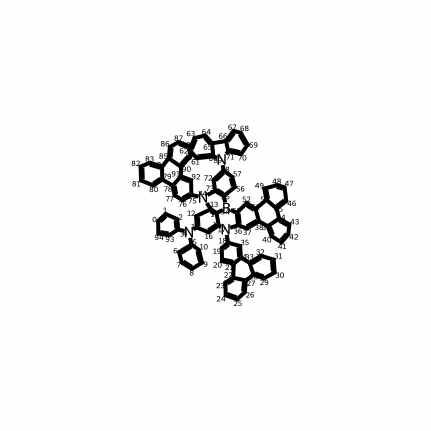 c1ccc(N(c2ccccc2)c2cc3c4c(c2)N(c2ccc5c6ccccc6c6ccccc6c5c2)c2cc5c6ccccc6c6ccccc6c5cc2B4c2ccc(-n4c5ccccc5c5ccccc54)cc2N3c2ccc3c4ccccc4c4ccccc4c3c2)cc1